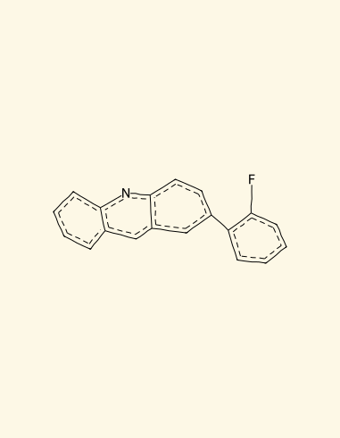 Fc1ccccc1-c1ccc2nc3ccccc3cc2c1